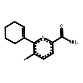 NC(=O)c1ccc(F)c(C2=CCCCC2)n1